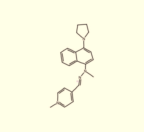 CN(/N=C/c1cc[n+](C)cc1)c1ccc(N2CCCC2)c2ccccc12